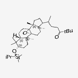 CC(CCC(=O)C(C)(C)C)C1CC[C@@]2(C)C34CC[C@H]5C(C)(C)[C@@H](O[Si](C)(C)C(C)C)CC[C@]5(C)C3(CC[C@]12C)O4